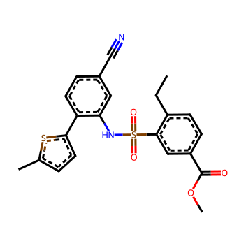 CCc1ccc(C(=O)OC)cc1S(=O)(=O)Nc1cc(C#N)ccc1-c1ccc(C)s1